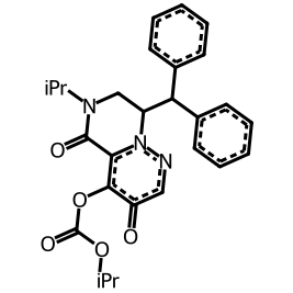 CC(C)OC(=O)Oc1c2n(ncc1=O)C(C(c1ccccc1)c1ccccc1)CN(C(C)C)C2=O